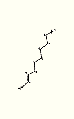 FC=CCCCCCCF